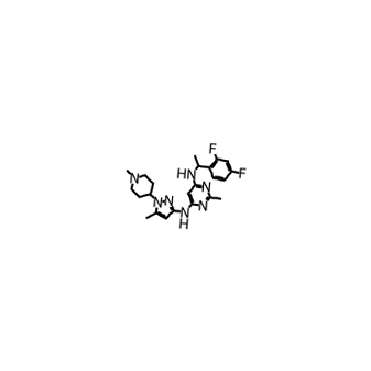 Cc1nc(Nc2cc(C)n(C3CCN(C)CC3)n2)cc(NC(C)c2ccc(F)cc2F)n1